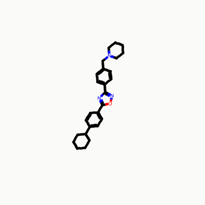 c1cc(-c2noc(-c3ccc(C4CCCCC4)cc3)n2)ccc1CN1CCCCC1